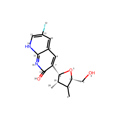 CC1[C@@H](CO)O[C@@H](c2cc3cc(F)c[nH]c-3nc2=O)[C@H]1C